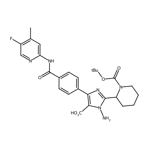 Cc1cc(NC(=O)c2ccc(-c3nc(C4CCCCN4C(=O)OC(C)(C)C)n(N)c3C(=O)O)cc2)ncc1F